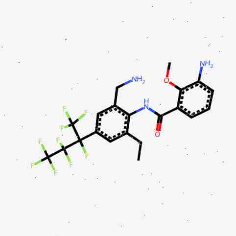 CCc1cc(C(F)(C(F)(F)F)C(F)(F)C(F)(F)F)cc(CN)c1NC(=O)c1cccc(N)c1OC